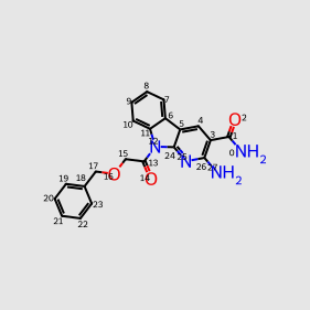 NC(=O)c1cc2c3ccccc3n(C(=O)COCc3ccccc3)c2nc1N